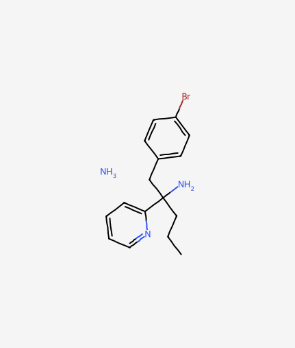 CCCC(N)(Cc1ccc(Br)cc1)c1ccccn1.N